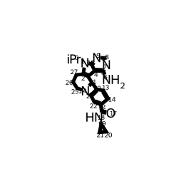 CC(C)n1c2c(c3c(N)ncnc31)C1c3ccc(C(=O)NC4CC4)cc3N1CCC2